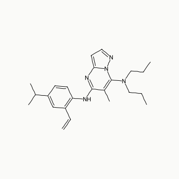 C=Cc1cc(C(C)C)ccc1Nc1nc2ccnn2c(N(CCC)CCC)c1C